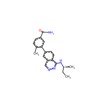 CC[C@H](C)Nc1nncc2cc(-c3cc(C(N)=O)ccc3C)ccc12